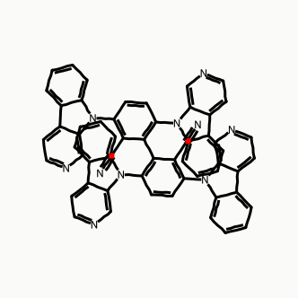 N#Cc1c(-n2c3ccccc3c3ccncc32)ccc(-n2c3ccccc3c3ccncc32)c1-c1c(-n2c3ccccc3c3ccncc32)ccc(-n2c3ccccc3c3ccncc32)c1C#N